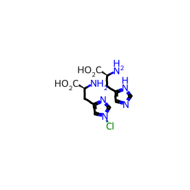 N[C@@H](Cc1cn(Cl)cn1)C(=O)O.N[C@@H](Cc1cnc[nH]1)C(=O)O